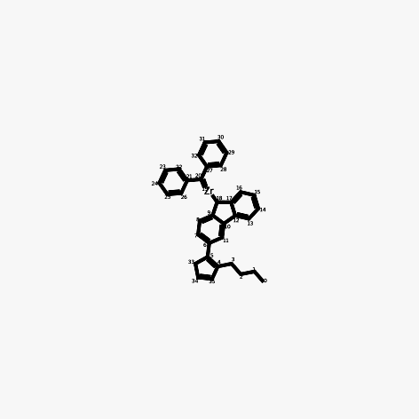 CCCCC1=C(c2ccc3c(c2)-c2ccccc2[CH]3[Zr]=[C](c2ccccc2)c2ccccc2)CC=C1